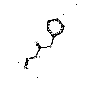 N=CNC(=O)Nc1ccccc1